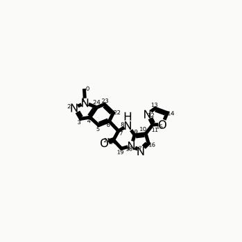 Cn1ncc2cc(C3Nc4c(-c5ncco5)cnn4CC3=O)ccc21